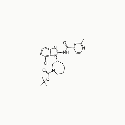 Cc1cc(C(=O)Nc2nc3cccc(Cl)c3n2C2CCCCN(C(=O)OC(C)(C)C)C2)ccn1